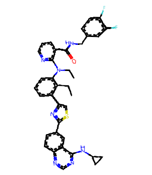 CCc1c(-c2csc(-c3ccc4ncnc(NC5CC5)c4c3)n2)cccc1N(CC)c1ncccc1C(=O)NCc1ccc(F)c(F)c1